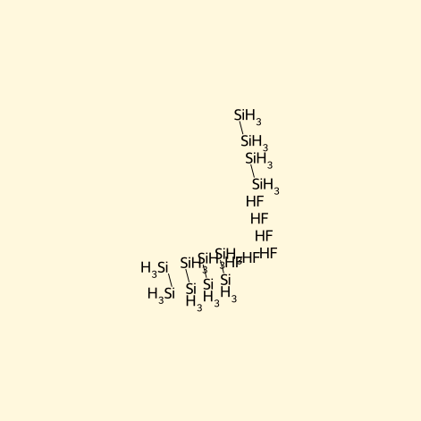 F.F.F.F.F.F.[SiH3][SiH3].[SiH3][SiH3].[SiH3][SiH3].[SiH3][SiH3].[SiH3][SiH3].[SiH3][SiH3]